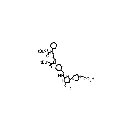 CC(C)(C)OC(=O)N(CCCN(C(=O)OC(C)(C)C)[C@H]1CC[C@H](CNc2nc(N)cc(N3CCN(CC(=O)O)CC3)n2)CC1)C1CCCCC1